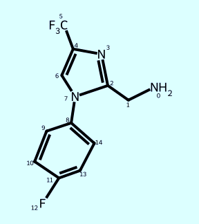 NCc1nc(C(F)(F)F)cn1-c1ccc(F)cc1